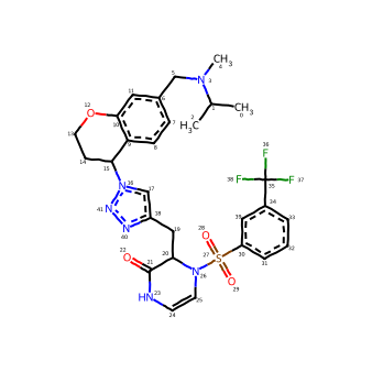 CC(C)N(C)Cc1ccc2c(c1)OCCC2n1cc(CC2C(=O)NC=CN2S(=O)(=O)c2cccc(C(F)(F)F)c2)nn1